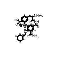 CC(=O)NC(Cc1ccc(P(=O)(O)O)c(P(=O)(O)O)c1)C(=O)NC(C)c1ccc(OCC2CCCCC2)c(C(N)=O)c1